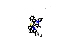 Cc1ccc(N2C3=C(B4c5sc6ccc(C(C)(C)C)cc6c5N(c5ccc(C(C)(C)C)cc5)c5cc(C)cc2c54)[C@@H](C)C2C(=C3)C(C)(C)CCC2(C)C)c(C)c1